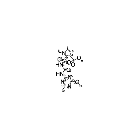 COC(=O)c1ccn(C)c1S(=O)(=O)NC(=O)Nc1nc(C)nc(OC)n1